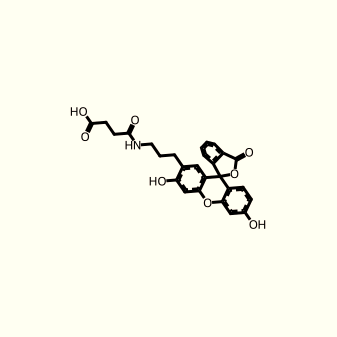 O=C(O)CCC(=O)NCCCc1cc2c(cc1O)Oc1cc(O)ccc1C21OC(=O)c2ccccc21